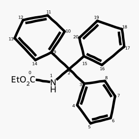 CCOC(=O)NC(c1ccccc1)(c1ccccc1)c1ccccc1